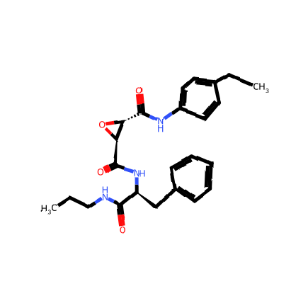 CCCNC(=O)[C@H](Cc1ccccc1)NC(=O)[C@H]1O[C@@H]1C(=O)Nc1ccc(CC)cc1